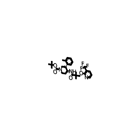 Cc1ccccc1[C@H]1CN(C(=O)OC(C)(C)C)CC[C@@H]1NC(=O)C(C)(C)COc1ncccc1C(F)(F)F